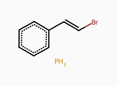 Br/C=C/c1ccccc1.P